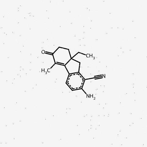 CCC12CCC(=O)C(C)=C1c1ccc(N)c(C#N)c1C2